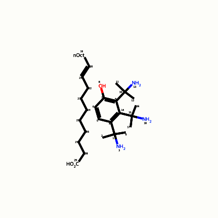 CC(C)(N)c1ccc(O)c(C(C)(C)N)c1C(C)(C)N.CCCCCCCCC=CCCCCCCCC(=O)O